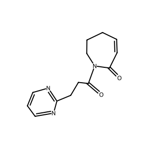 O=C1C=CCCCN1C(=O)CCc1ncccn1